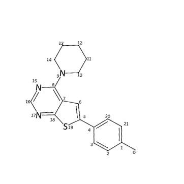 Cc1ccc(-c2cc3c(N4CCCCC4)ncnc3s2)cc1